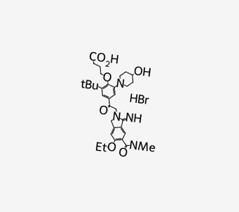 Br.CCOc1cc2c(cc1C(=O)NC)C(=N)N(CC(=O)c1cc(N3CCC(O)CC3)c(OCCCC(=O)O)c(C(C)(C)C)c1)C2